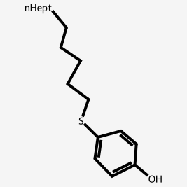 CCCCCCCCCCCCSc1ccc(O)cc1